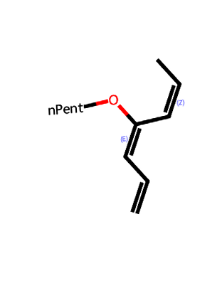 C=C/C=C(\C=C/C)OCCCCC